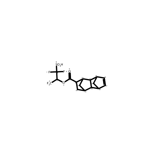 O=C(OC(C(F)(F)F)C(F)(F)S(=O)(=O)O)C1CC2CC1C1C3C=CC(C3)C21